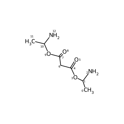 CC(N)OC(=O)CC(=O)OC(C)N